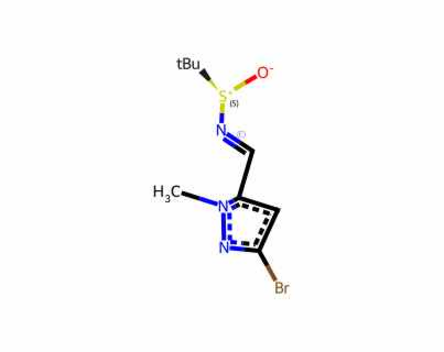 Cn1nc(Br)cc1/C=N/[S@+]([O-])C(C)(C)C